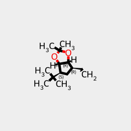 C=C[C@H]1C[C@@H](C(C)(C)C)[C@@H]2OC(C)(C)O[C@@H]21